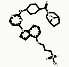 CN1C2CCC1CN(C(=O)C1CCC(Nc3nccc(-n4ccc5c(OCCCS(C)(=O)=O)cccc54)n3)CC1)C2